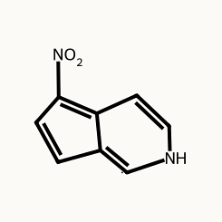 O=[N+]([O-])c1ccc2[c][nH]ccc1-2